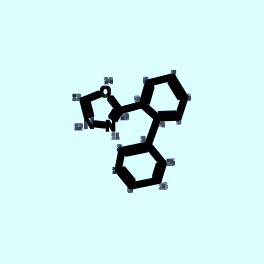 c1ccc(-c2ccccc2-c2nnco2)cc1